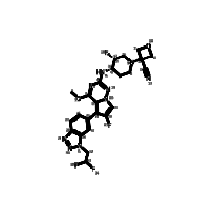 COc1nc(N[C@H]2CCN(C3(C#N)COC3)C[C@H]2F)nn2cc(F)c(-c3ccc4nnn(CC(F)F)c4c3)c12